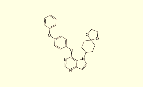 c1ccc(Oc2ccc(Oc3ncnc4ccn(C5CCC6(CC5)OCCO6)c34)cc2)cc1